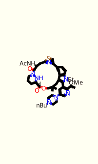 CCCCN1CCN(c2cnc([C@H](C)OC)c(-c3c4c5cc(ccc5n3CC)-c3csc(n3)C[C@H](NC(C)=O)C(=O)N3CCC[C@H](N3)C(=O)OCC(C)(C)C4)c2)CC1